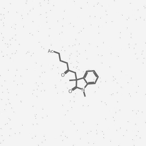 CC(=O)CCCC(=O)CC1(C)C(=O)N(C)c2ccccc21